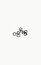 CC(C)(C)OC(=O)N1CCC(C=O)(c2ccc(Cl)c(Cl)c2)CC1